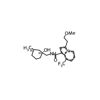 COCCc1cc(C(=O)NC[C@@]2(O)CCC[C@@H](C)C2)c2c(C(F)(F)F)cccn12